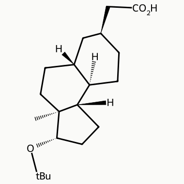 CC(C)(C)O[C@H]1CC[C@H]2[C@@H]3CC[C@H](CC(=O)O)C[C@H]3CC[C@]12C